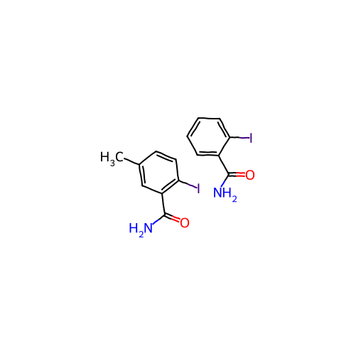 Cc1ccc(I)c(C(N)=O)c1.NC(=O)c1ccccc1I